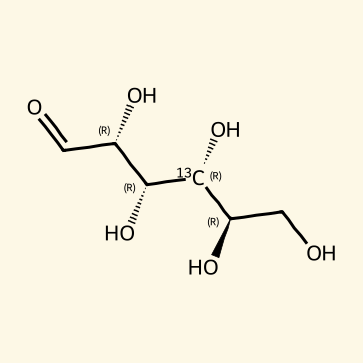 O=C[C@H](O)[C@@H](O)[13C@H](O)[C@H](O)CO